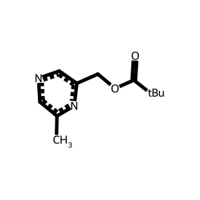 Cc1cncc(COC(=O)C(C)(C)C)n1